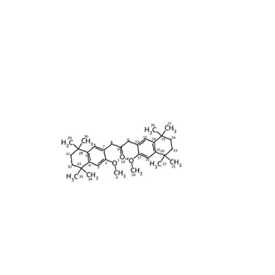 COc1cc2c(cc1CC(=O)Cc1cc3c(cc1OC)C(C)(C)CCC3(C)C)C(C)(C)CCC2(C)C